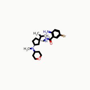 CC(C)[C@]1(CNC(=O)c2cc(Br)ccc2N)CC[C@@H](N(C)C2CCOCC2)C1